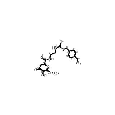 O=C(NCCNC(=O)c1cc(=O)c(O)c(C(=O)O)o1)OCc1ccc(CC(F)(F)F)cc1